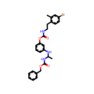 Cc1cc(Br)ccc1CCNC(=O)Oc1cccc(NC(C)NC(=O)OCc2ccccc2)c1